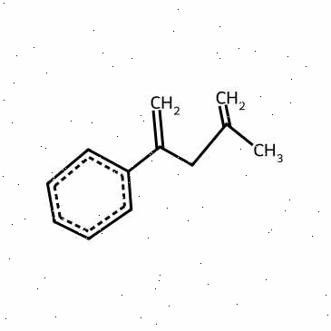 C=C(C)CC(=C)c1ccccc1